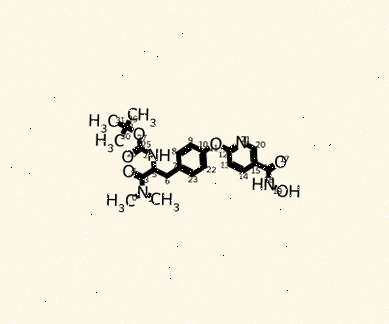 CN(C)C(=O)C(Cc1ccc(Oc2ccc(C(=O)NO)cn2)cc1)NC(=O)OC(C)(C)C